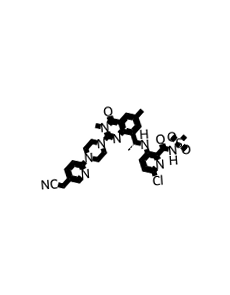 Cc1cc([C@@H](C)Nc2ccc(Cl)nc2C(=O)NS(C)(=O)=O)c2nc(N3CCN(c4ccc(CC#N)cn4)CC3)n(C)c(=O)c2c1